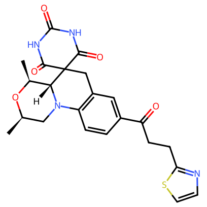 C[C@@H]1CN2c3ccc(C(=O)CCc4nccs4)cc3CC3(C(=O)NC(=O)NC3=O)[C@H]2[C@H](C)O1